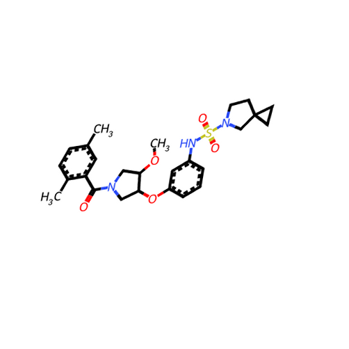 COC1CN(C(=O)c2cc(C)ccc2C)CC1Oc1cccc(NS(=O)(=O)N2CCC3(CC3)C2)c1